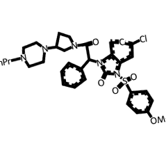 CCCN1CCN(C2CCN(C(=O)C(c3ccccc3)n3c(=O)n(S(=O)(=O)c4ccc(OC)cc4)c4cc(Cl)ccc43)C2)CC1